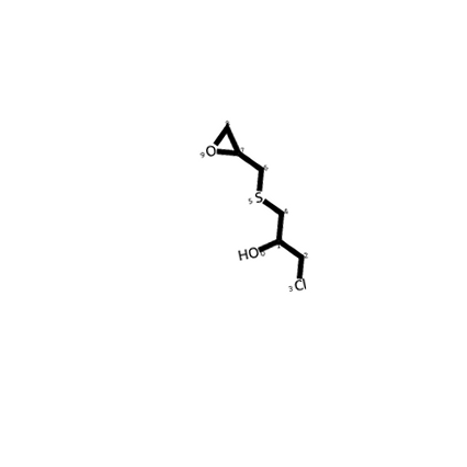 OC(CCl)CSCC1CO1